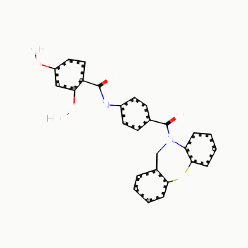 COc1ccc(C(=O)Nc2ccc(C(=O)N3Cc4ccccc4Sc4ccccc43)cc2)c(OC)c1